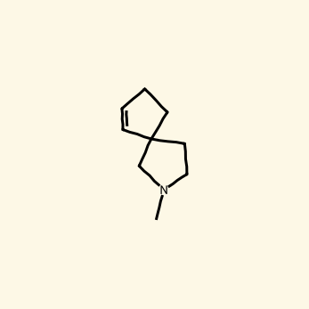 CN1CCC2(C=CCC2)C1